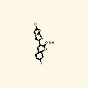 Br.CCc1cn2cc(-c3cc4ccc(F)cc4oc3=O)nc2s1